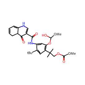 COC(=O)OCC(C)(C)c1cc(C(C)(C)C)c(NC(=O)C2=CNC3=CC=CCC3C2=O)cc1OC(O)OC